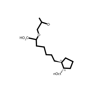 CCCCCCCC[C@H]1CCC[C@@H]1CCCCCC(OCC(C)[O])C(=O)O